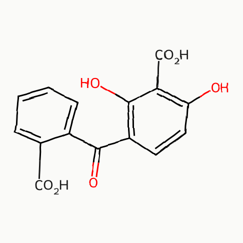 O=C(O)c1ccccc1C(=O)c1ccc(O)c(C(=O)O)c1O